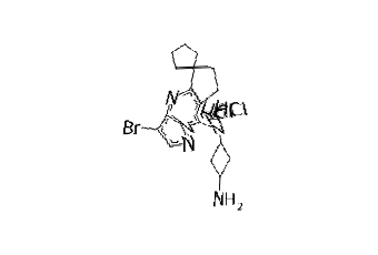 Cl.Cl.NC1CC(Nc2c3c(nc4c(Br)cnn24)C2(CCCC2)CC3)C1